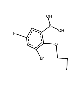 CCCOc1c(Br)cc(F)cc1B(O)O